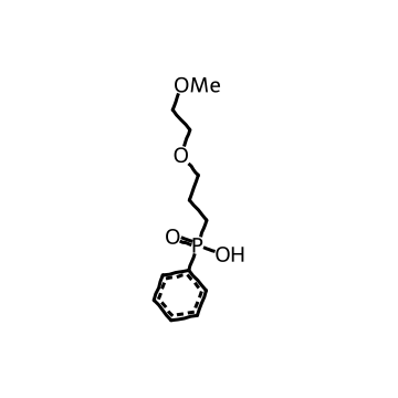 COCCOCCCP(=O)(O)c1ccccc1